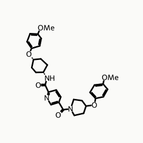 COc1ccc(OC2CCN(C(=O)c3ccc(C(=O)N[C@H]4CC[C@@H](Oc5ccc(OC)cc5)CC4)nc3)CC2)cc1